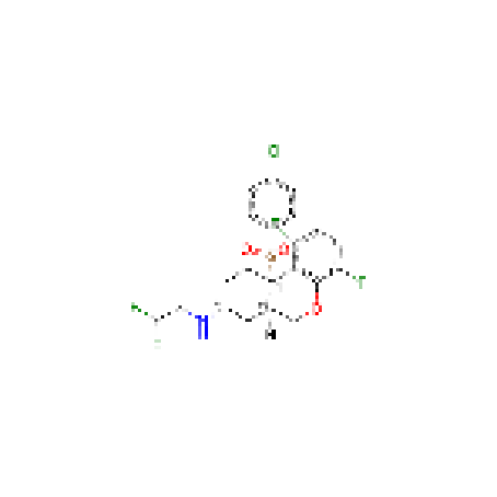 O=S(=O)(c1ccc(Cl)cc1)[C@@]12CC[C@@H](NCC(F)F)C[C@@H]1COc1c(F)ccc(F)c12